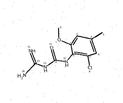 COc1cc(C)cc(Cl)c1NC(=O)NC(=N)N